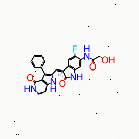 O=C(CO)Nc1cc2c(cc1F)/C(=C/c1[nH]c3c(c1-c1ccccc1)C(=O)NCC3)C(=O)N2